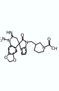 CC(=O)N1CCCC(CN2C(=O)C3(CC(=N)N(N)c4cc5c(cc43)OCO5)c3ccccc32)C1